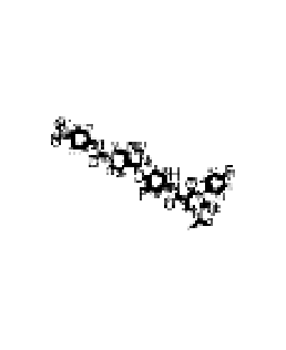 CC(C)n1cc(C(=O)Nc2ccc(Oc3ncnc4c3CCN(C(=O)Oc3ccc([N+](=O)[O-])cc3)C4)c(F)c2)c(=O)n(-c2ccc(F)cc2)c1=O